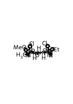 CCc1ccc2c(c1)-n1cnnc1[C@@H](CC(=O)NCCNC(=O)CNC(=O)C[C@@H]1N=C(c3ccc(Cl)cc3)c3cc(OC)ccc3-n3c(C)nnc31)N=C2c1ccc(Cl)cc1